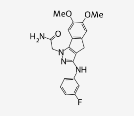 COc1cc2c(cc1OC)-c1c(c(Nc3cccc(F)c3)nn1CC(N)=O)C2